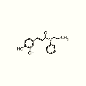 CCCN(C(=O)/C=C/c1ccc(O)c(O)c1)c1ccccc1